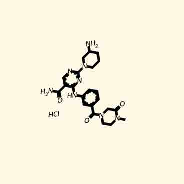 CN1CCN(C(=O)c2cccc(Nc3nc(N4CCCC(N)C4)ncc3C(N)=O)c2)CC1=O.Cl